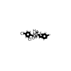 Cc1ccc2cc(S(=O)(=O)NC(=O)c3ccc(Cl)cc3Cl)sc2c1